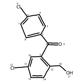 O=C(c1ccc(Cl)cc1)c1cc(Cl)ccc1CO